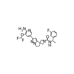 C[C@@H](NC(=O)N1CC2(CCn3nc(-c4cnc(N)c(OC(F)F)c4)cc32)C1)c1cccc(F)c1